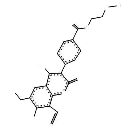 CCc1cc2c(C)c(-c3ccc(C(=O)NCCOC)cc3)c(=O)oc2c(C=O)c1O